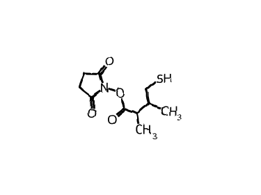 CC(CS)C(C)C(=O)ON1C(=O)CCC1=O